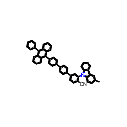 Cc1ccc2c(c1)c1ccccc1n2-c1cc(-c2ccc(-c3ccc(-c4c5ccccc5c(-c5ccccc5)c5ccccc45)cc3)cc2)ccc1C#N